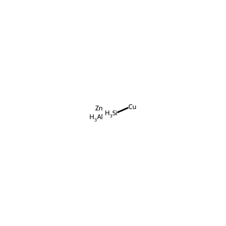 [AlH3].[SiH3][Cu].[Zn]